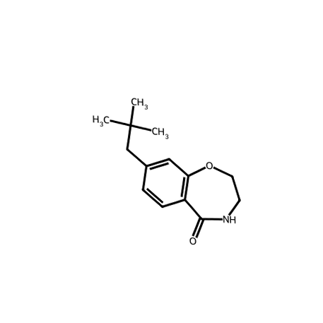 CC(C)(C)Cc1ccc2c(c1)OCCNC2=O